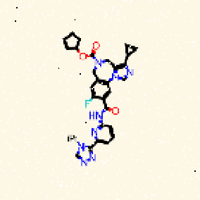 CC(C)n1cnnc1-c1cccc(NC(=O)c2cc3c(cc2F)CN(C(=O)OC2CCCC2)Cc2c(C4CC4)ncn2-3)n1